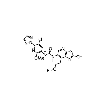 CCOCCc1c(NC(=O)Nc2cc(Cl)c(-n3nccn3)nc2OC)cnc2sc(C)nc12